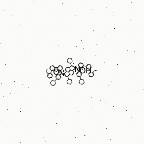 CCc1ccccc1-c1cccc(-c2cccc(N(c3ccc(C4CCCCC4)cc3)c3cc(C4CCCCC4)c4ccc5c(N(c6ccc(C7CCCCC7)cc6)c6cccc7c6oc6c(-c8ccccc8CC)cccc67)cc(C6CCCCC6)c6ccc3c4c65)c2O)c1